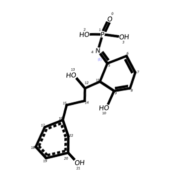 O=P(O)(O)/N=C1\C=CC=C(O)C1C(O)CCc1cccc(O)c1